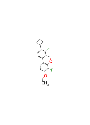 CCOc1ccc2c(c1F)OCc1c-2ccc(C2CCC2)c1F